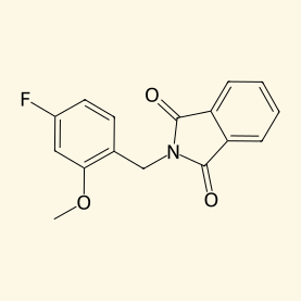 COc1cc(F)ccc1CN1C(=O)c2ccccc2C1=O